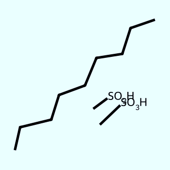 CCCCCCCCC.CS(=O)(=O)O.CS(=O)(=O)O